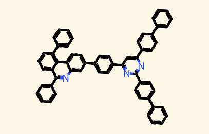 c1ccc(-c2ccc(-c3cc(-c4ccc(-c5ccc6c(c5)nc(-c5ccccc5)c5cccc(-c7ccccc7)c56)cc4)nc(-c4ccc(-c5ccccc5)cc4)n3)cc2)cc1